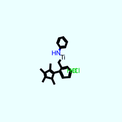 CC1=C(C)C(C)C(c2ccccc2[CH2][Ti][NH]c2ccccc2)=C1C.Cl.Cl